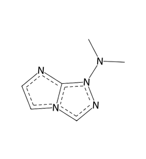 CN(C)n1ncn2ccnc12